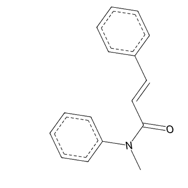 CN(C(=O)C=Cc1ccccc1)c1ccccc1